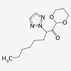 CCCCCCC(C(=O)C1OCCCO1)n1nccn1